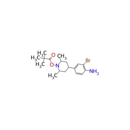 CC1CC(c2ccc(N)c(Br)c2)CC(C)N1OC(=O)C(C)(C)C